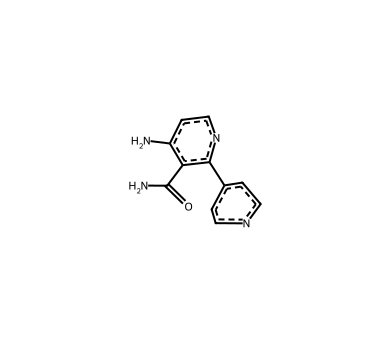 NC(=O)c1c(N)ccnc1-c1ccncc1